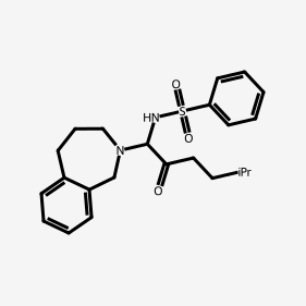 CC(C)CCC(=O)C(NS(=O)(=O)c1ccccc1)N1CCCc2ccccc2C1